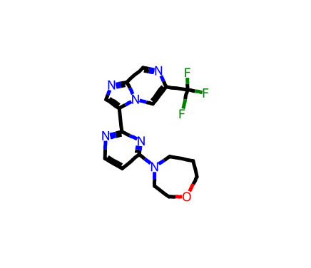 FC(F)(F)c1cn2c(-c3nccc(N4CCCOCC4)n3)cnc2cn1